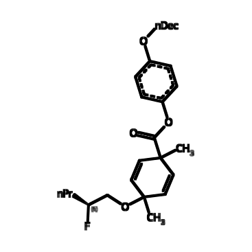 CCCCCCCCCCOc1ccc(OC(=O)C2(C)C=CC(C)(OC[C@@H](F)CCC)C=C2)cc1